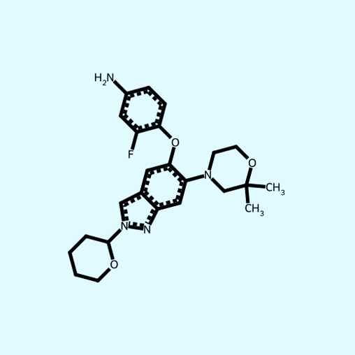 CC1(C)CN(c2cc3nn(C4CCCCO4)cc3cc2Oc2ccc(N)cc2F)CCO1